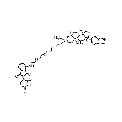 CN(CCCCCCOCCOCCNc1cccc2c1C(=O)N(C1CCC(=O)NC1=O)C2=O)[C@H]1CC[C@]2(C)C3CC[C@]4(C)[C@@H](c5ccc6ccncc6c5)CC[C@H]4C3CC[C@H]2C1